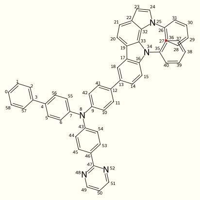 c1ccc(-c2ccc(N(c3ccc(-c4ccc5c(c4)c4ccc6ccn(-c7ccccc7)c6c4n5-c4ccccc4)cc3)c3ccc(-c4ncccn4)cc3)cc2)cc1